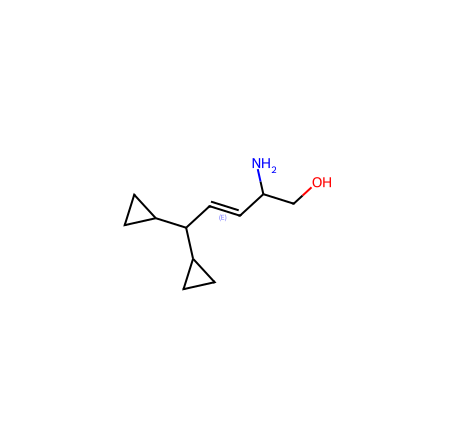 NC(/C=C/C(C1CC1)C1CC1)CO